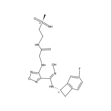 C[S@](=N)(=O)CCNC(=O)CNc1nonc1C(=NO)N[C@H]1Cc2ccc(F)cc21